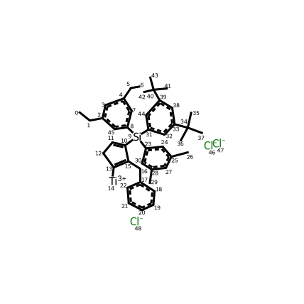 CCc1cc(CC)cc([Si](C2=CC[C]([Ti+3])=C2Cc2ccccc2)(c2cc(C)cc(C)c2)c2cc(C(C)(C)C)cc(C(C)(C)C)c2)c1.[Cl-].[Cl-].[Cl-]